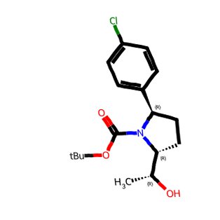 C[C@@H](O)[C@H]1CC[C@H](c2ccc(Cl)cc2)N1C(=O)OC(C)(C)C